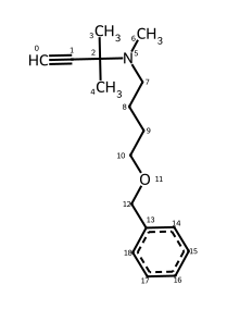 C#CC(C)(C)N(C)CCCCOCc1ccccc1